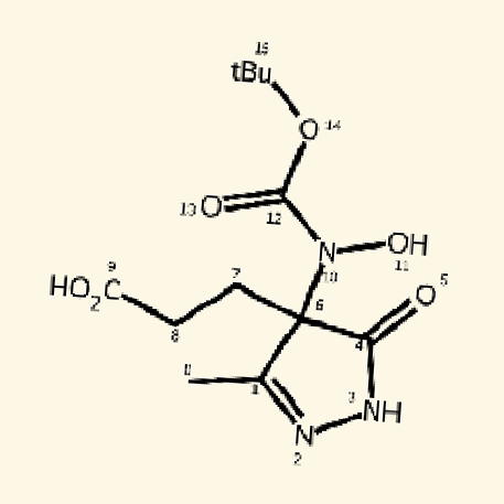 CC1=NNC(=O)C1(CCC(=O)O)N(O)C(=O)OC(C)(C)C